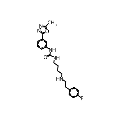 Cc1nnc(-c2cccc(NC(=O)NCCCCNCCc3ccc(F)cc3)c2)o1